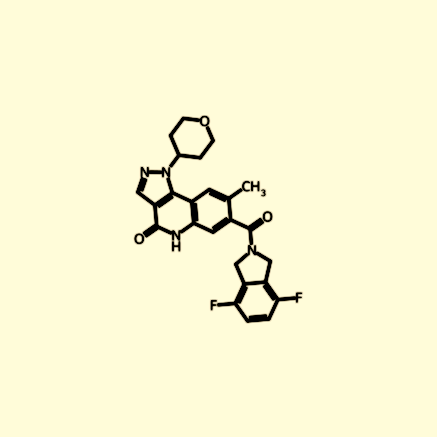 Cc1cc2c(cc1C(=O)N1Cc3c(F)ccc(F)c3C1)[nH]c(=O)c1cnn(C3CCOCC3)c12